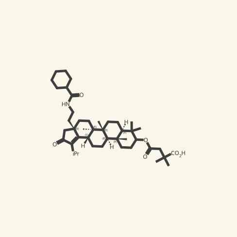 CC(C)C1=C2[C@H]3CC[C@@H]4[C@@]5(C)CCC(OC(=O)CC(C)(C)C(=O)O)C(C)(C)[C@@H]5CC[C@@]4(C)[C@]3(C)CC[C@@]2(CCNC(=O)C2CCCCC2)CC1=O